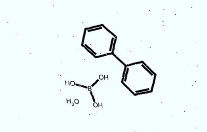 O.OB(O)O.c1ccc(-c2ccccc2)cc1